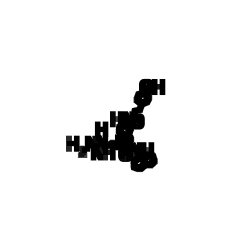 N=C(N)NCCCn1c(C(=O)Nc2cccc3ccccc23)cc2cc(NC(=O)CCc3ccc(O)cc3)ccc21